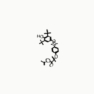 CC(C)OC(=O)C(C)(C)Oc1ccc([Si](C)(C)Oc2cc(C(C)(C)C)c(O)c(C(C)(C)C)c2)cc1